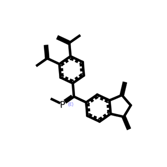 C=C(C)c1ccc(/C(=P\C)c2ccc3c(c2)C(=C)CC3=C)cc1C(=C)C